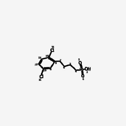 O=S(=O)(O)CCCCc1cc(Cl)ccc1Cl